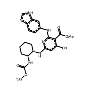 COC(=O)c1c(C#N)cc(N[C@@H]2CCCC[C@@H]2NC(=O)OC(C)(C)C)nc1Nc1ccc2nc[nH]c2c1